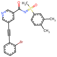 Cc1ccc(S(C)(=O)=NC(=O)c2cncc(C#Cc3ccccc3Br)c2)cc1C